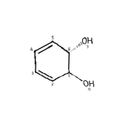 OC1C=CC=C[C@@H]1O